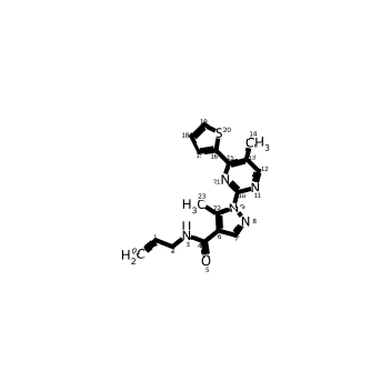 C=CCNC(=O)c1cnn(-c2ncc(C)c(-c3cccs3)n2)c1C